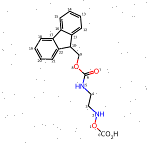 O=C(O)ONCCNC(=O)OCC1c2ccccc2-c2ccccc21